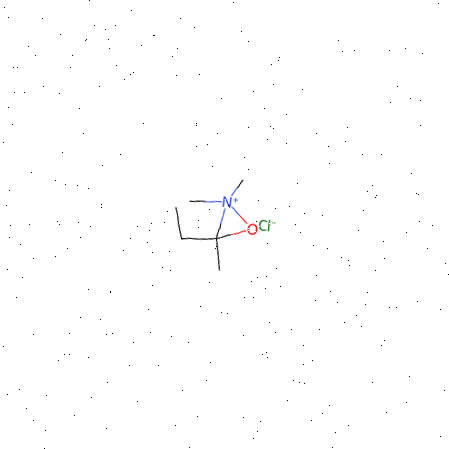 CCC1(C)O[N+]1(C)C.[Cl-]